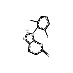 O=c1ccc2n[nH]n(-c3c(F)cccc3F)c-2n1